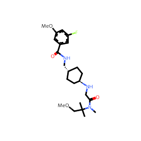 COCC(C)(C)N(C)C(=O)CN[C@H]1CC[C@H](CNC(=O)c2cc(F)cc(OC)c2)CC1